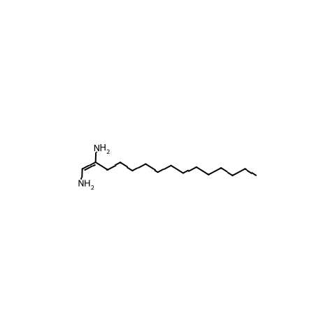 CCCCCCCCCCCCC/C(N)=C\N